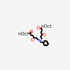 CCCCCCCCC(=O)CCC(=O)CCN(CCC(=O)CCC(=O)CCCCCCCC)Cc1ccccc1